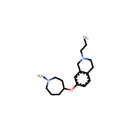 CCCN1CCc2ccc(OC3CCCN(C)CC3)cc2C1